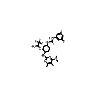 Cc1nc(NC2CCC(NC(=O)Nc3cc(F)cc(F)c3)CC2)nc(N(C)C)c1C.O=C(O)C(F)(F)F